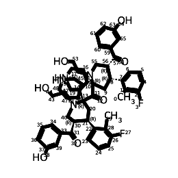 Cc1c(F)cccc1[C@@H]1C[C@](C(=O)[C@]2(C3CCCNC3)C[C@@H](c3cccc(F)c3C)[C@@H](C(=O)c3cccc(O)c3)CN2CCO)(C2CCCNC2)N(CCO)C[C@@H]1C(=O)c1cccc(O)c1